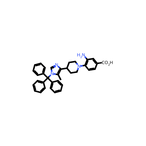 Cc1c(C2CCN(c3ccc(C(=O)O)cc3N)CC2)ncn1C(c1ccccc1)(c1ccccc1)c1ccccc1